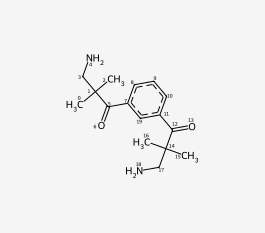 CC(C)(CN)C(=O)c1cccc(C(=O)C(C)(C)CN)c1